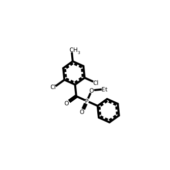 CCOP(=O)(C(=O)c1c(Cl)cc(C)cc1Cl)c1ccccc1